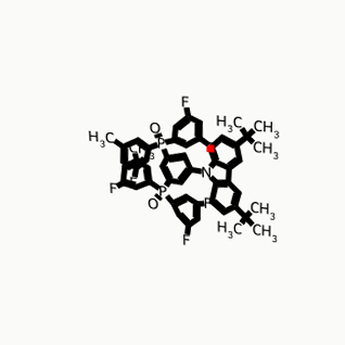 Cc1cc(F)cc(P(=O)(c2cc(F)cc(F)c2)c2cc(-n3c4ccc(C(C)(C)C)cc4c4cc(C(C)(C)C)ccc43)cc(P(=O)(c3cc(C)cc(F)c3)c3cc(F)cc(F)c3)c2)c1